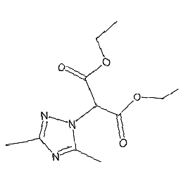 CCOC(=O)C(C(=O)OCC)n1nc(C)nc1C